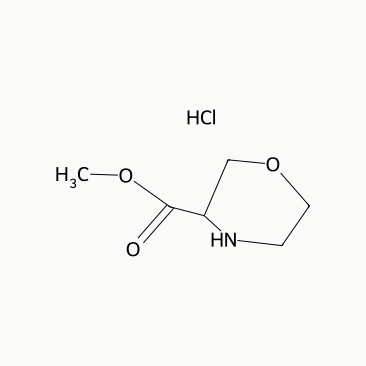 COC(=O)C1COCCN1.Cl